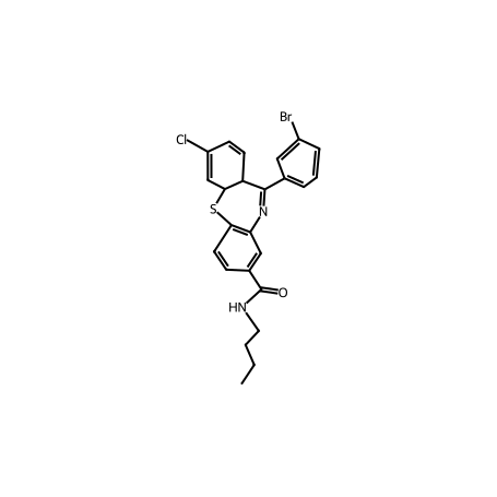 CCCCNC(=O)c1ccc2c(c1)N=C(c1cccc(Br)c1)C1C=CC(Cl)=CC1S2